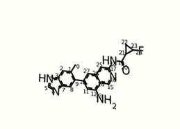 Cc1cc2[nH]cnc2cc1-c1cc(N)c2cnc(NC(=O)C3CC3F)cc2c1